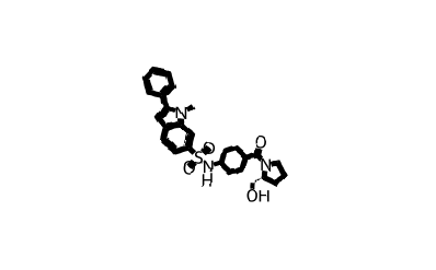 Cn1c(-c2ccccc2)cc2ccc(S(=O)(=O)NC3CCC(C(=O)N4CCC[C@@H]4CO)CC3)cc21